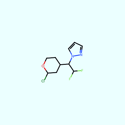 FC(F)C(C1CCOC(Cl)C1)n1cccn1